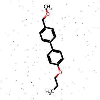 CCCOc1ccc(-c2ccc(COC)cc2)cc1